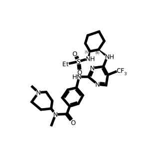 CCS(=O)(=O)N[C@H]1CCCC[C@H]1Nc1nc(Nc2ccc(C(=O)N(C)C3CCN(C)CC3)cc2)ncc1C(F)(F)F